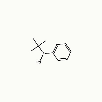 CC(C)(C)[P]([Pd])c1ccccc1